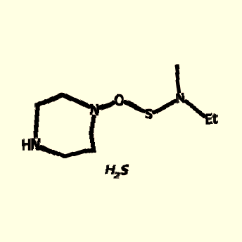 CCN(C)SON1CCNCC1.S